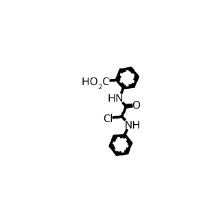 O=C(O)c1ccccc1NC(=O)C(Cl)Nc1ccccc1